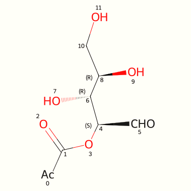 CC(=O)C(=O)O[C@H](C=O)[C@H](O)[C@H](O)CO